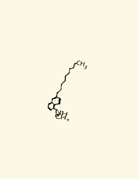 CCCCCCCCCCc1ccc2c(NC)cccc2c1